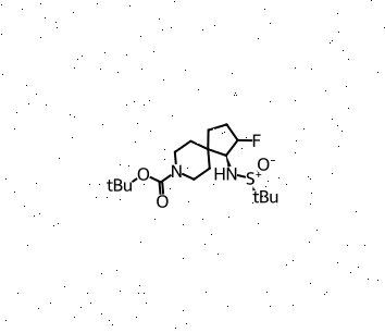 CC(C)(C)OC(=O)N1CCC2(CCC(F)[C@H]2N[S@+]([O-])C(C)(C)C)CC1